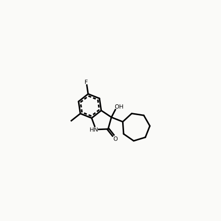 Cc1cc(F)cc2c1NC(=O)C2(O)C1CCCCCC1